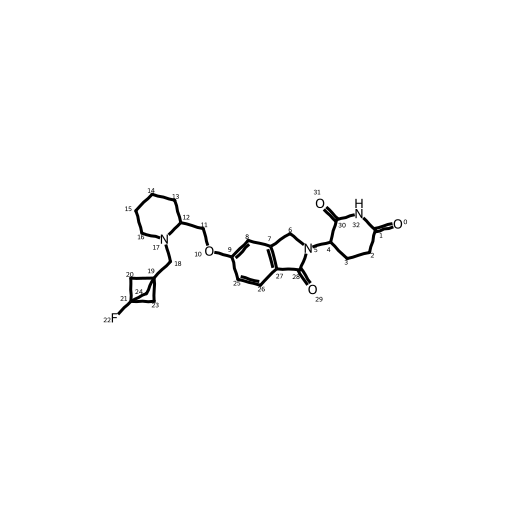 O=C1CCC(N2Cc3cc(OCC4CCCCN4CC45CC(F)(C4)C5)ccc3C2=O)C(=O)N1